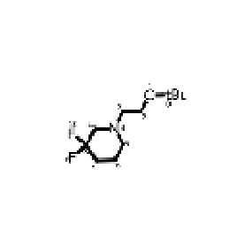 CC(C)(C)OCCN1CCCC(F)(F)C1